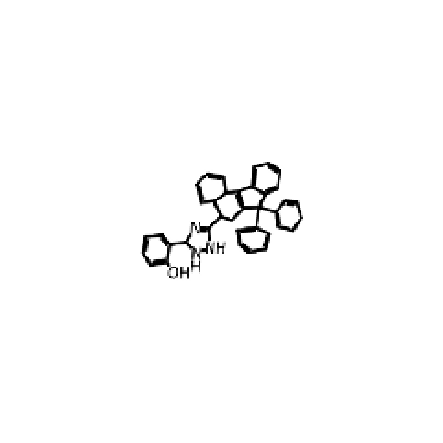 Oc1ccccc1C1N=C(C2CC3=C(c4ccccc4C3(C3=CCCC=C3)c3ccccc3)C3C=CC=CC32)NN1